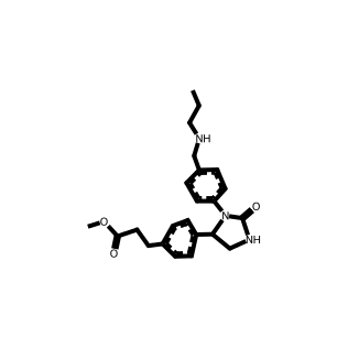 CCCNCc1ccc(N2C(=O)NCC2c2ccc(CCC(=O)OC)cc2)cc1